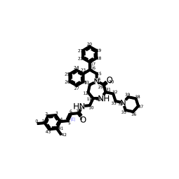 Cc1ccc(/C=C/C(=O)NCC2CCN(CC(c3ccccc3)c3ccccc3)C(=O)C(CCN3CCCCC3)N2)c(C)c1